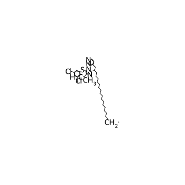 [CH2]CCCCCCCCCCCCCCCCCC(Cc1ccncc1)c1nc(C(C)C)c(Sc2cc(Cl)cc(Cl)c2)[nH]1